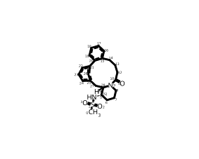 CS(=O)(=O)N[C@H]1CCCN2C(=O)CCCc3ccccc3-c3cccc(c3)C[C@@H]12